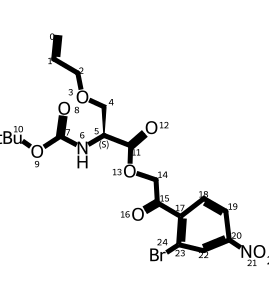 C=CCOC[C@H](NC(=O)OC(C)(C)C)C(=O)OCC(=O)c1ccc([N+](=O)[O-])cc1Br